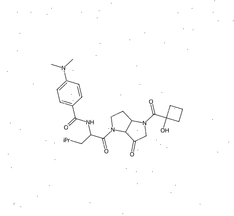 CC(C)CC(NC(=O)c1ccc(N(C)C)cc1)C(=O)N1CCC2C1C(=O)CN2C(=O)C1(O)CCC1